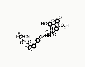 N#C[C@@H]1CC(F)(F)CN1C(=O)CNC(=O)c1ccnc2ccc(-c3ccc(OCCNC(=O)CNC(=O)c4ccc(C(=O)O)c(-c5c6ccc(=O)cc-6oc6cc(O)ccc56)c4)cc3)cc12